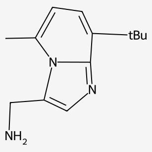 Cc1ccc(C(C)(C)C)c2ncc(CN)n12